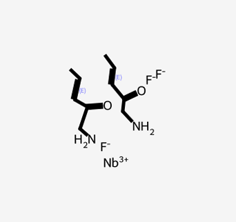 C/C=C/C(=O)CN.C/C=C/C(=O)CN.[F-].[F-].[F-].[Nb+3]